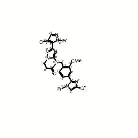 COc1cc(-c2nc(C(F)(F)F)cn2C(C)C)ccc1CN1C(=O)CCn2nc(-c3c(Cl)cnn3C(C)C)nc21